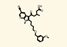 COc1cccc(COCCCCc2c(C(=O)CC(C)CC(=O)O)c3cc(C#N)cnc3n2C)c1